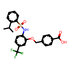 CC(C)c1ccccc1S(=O)(=O)Nc1ccc(C(F)(F)F)cc1OCc1ccc(C(=O)O)cc1